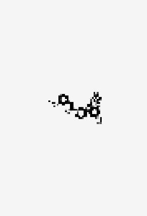 CC(C)Oc1cccc(CC(=O)N2CCC[C@](CCOS(C)(=O)=O)(c3cccc(Cl)c3)C2)c1